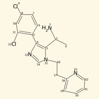 CC(N)c1c(-c2ccc(Cl)cc2Cl)ncn1CCc1ccccn1